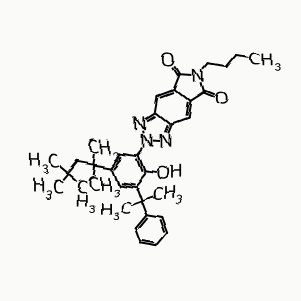 CCCCN1C(=O)c2cc3nn(-c4cc(C(C)(C)CC(C)(C)C)cc(C(C)(C)c5ccccc5)c4O)nc3cc2C1=O